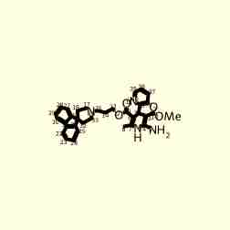 COC(=O)C1=C(N)NC(C)=C(C(=O)OCCCN2CCC(c3ccccc3)(c3ccccc3)CC2)C1c1ccccn1